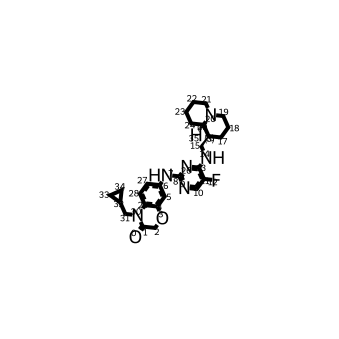 O=C1COc2cc(Nc3ncc(F)c(NC[C@@H]4CCCN5CCCC[C@H]45)n3)ccc2N1CC1CC1